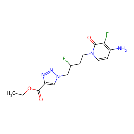 CCOC(=O)c1cn(CC(F)CCn2ccc(N)c(F)c2=O)nn1